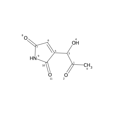 CC(=O)C(O)C1=CC(=O)NC1=O